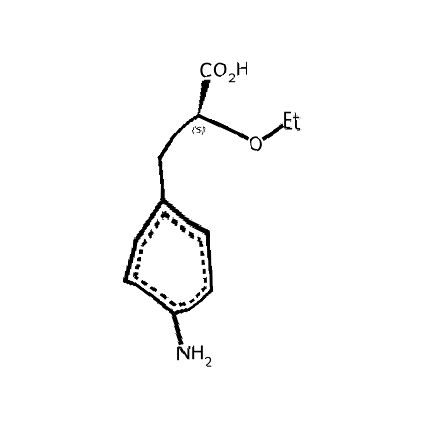 CCO[C@@H](Cc1ccc(N)cc1)C(=O)O